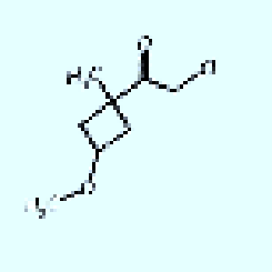 COC1CC(C)(C(=O)CCl)C1